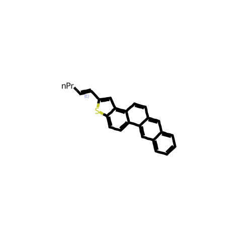 CCC/C=C/c1cc2c(ccc3c4cc5ccccc5cc4ccc23)s1